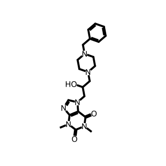 Cn1c(=O)c2c(ncn2CC(O)CN2CCN(Cc3ccccc3)CC2)n(C)c1=O